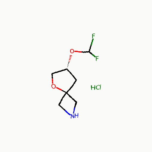 Cl.FC(F)O[C@H]1COC2(CNC2)C1